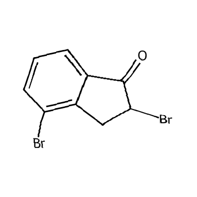 O=C1c2cccc(Br)c2CC1Br